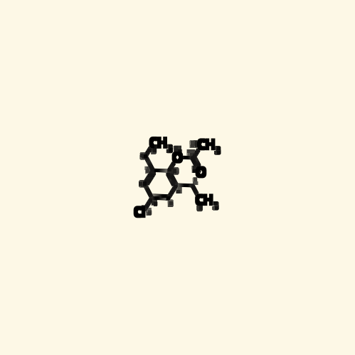 CCc1cc(Cl)cc(CC)c1OC(C)=O